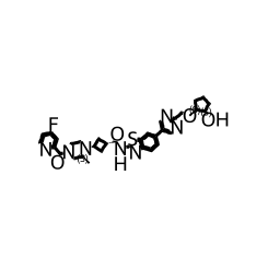 C[C@H]1CN(C(=O)c2cc(F)ccn2)CCN1[C@H]1C[C@@H](C(=O)Nc2nc3ccc(-c4cnc(CO[C@H]5CCC[C@@H]5O)nc4)cc3s2)C1